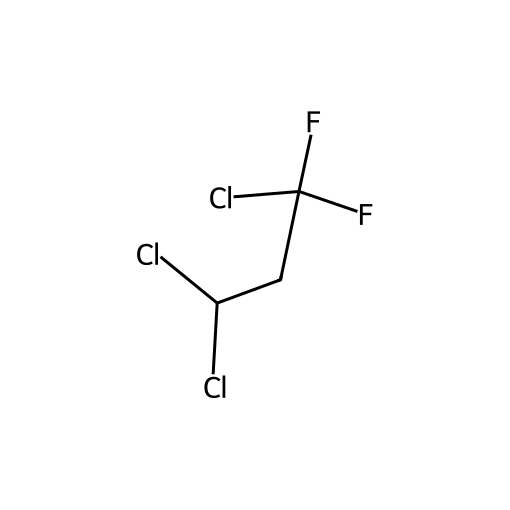 FC(F)(Cl)CC(Cl)Cl